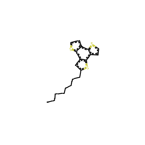 CCCCCCCCc1cc2c3sccc3c3sccc3c2s1